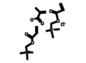 C=C(C)C(=O)[O-].C=CC(=O)OC[N+](C)(C)C.C=CC(=O)OC[N+](C)(C)C.[Cl-]